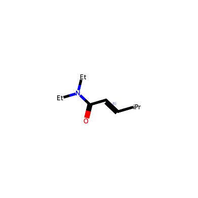 CCN(CC)C(=O)/C=C/C(C)C